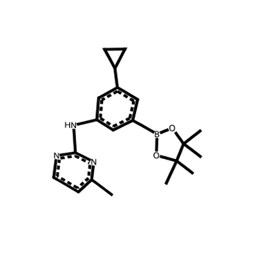 Cc1ccnc(Nc2cc(B3OC(C)(C)C(C)(C)O3)cc(C3CC3)c2)n1